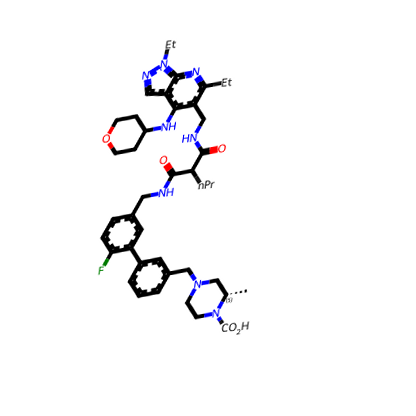 CCCC(C(=O)NCc1ccc(F)c(-c2cccc(CN3CCN(C(=O)O)[C@@H](C)C3)c2)c1)C(=O)NCc1c(CC)nc2c(cnn2CC)c1NC1CCOCC1